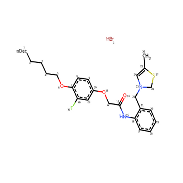 Br.CCCCCCCCCCCCCCOc1ccc(OCC(=O)Nc2ccccc2CN2C=C(C)SC2)cc1F